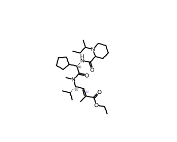 CCOC(=O)/C(C)=C/[C@H](C(C)C)N(C)C(=O)[C@@H](NC(=O)C1CCCCN1C(C)CC)C1CCCC1